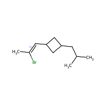 C/C(Br)=C/C1CC(CC(C)C)C1